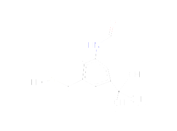 CSCc1cc(NC=O)cc(C(C)(C)C)c1